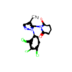 N#Cc1cnn(-c2ccc(Cl)c(Cl)c2Cl)c1N1C(=O)CCCC1=O